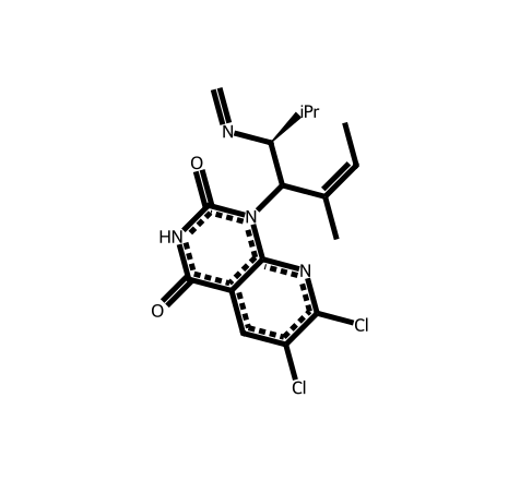 C=N[C@@H](C(C)C)C(/C(C)=C\C)n1c(=O)[nH]c(=O)c2cc(Cl)c(Cl)nc21